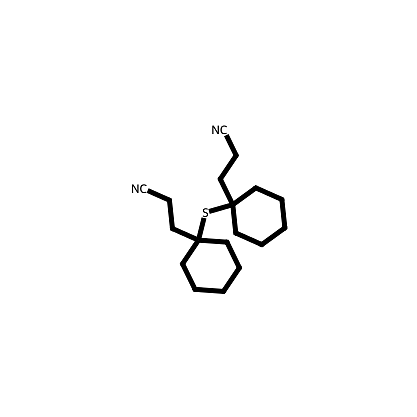 N#CCCC1(SC2(CCC#N)CCCCC2)CCCCC1